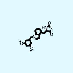 COc1cc(Cn2ccc3c(C=C4NC(=O)SC4=O)cccc32)cc(OC)c1